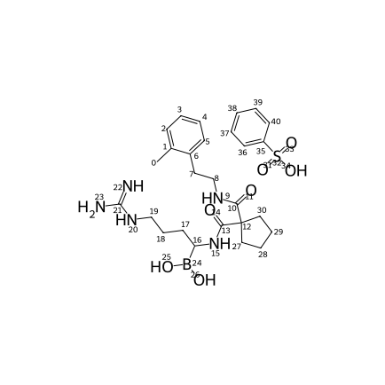 Cc1ccccc1CCNC(=O)C1(C(=O)NC(CCCNC(=N)N)B(O)O)CCCC1.O=S(=O)(O)c1ccccc1